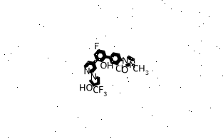 Cn1ccn(-c2ccc(-c3cc(F)cc(-c4ccnc(N5CCC(O)(C(F)(F)F)C5)c4)c3O)cc2Cl)c1=O